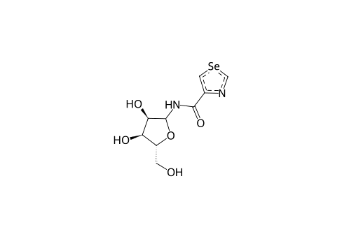 O=C(NC1O[C@H](CO)[C@@H](O)[C@H]1O)c1c[se]cn1